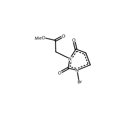 COC(=O)Cn1c(=O)ccn(Br)c1=O